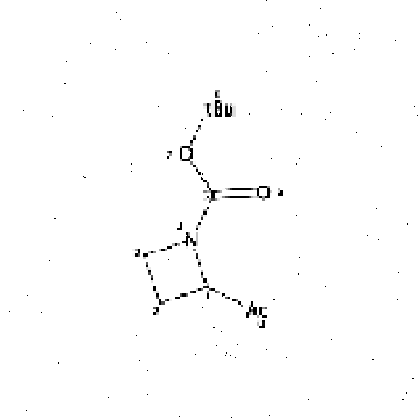 CC(=O)C1CCN1C(=O)OC(C)(C)C